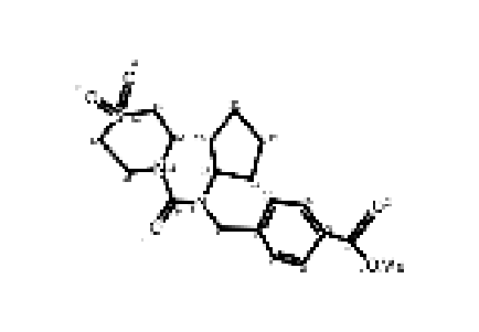 COC(=O)c1ccc(CN(C(=O)N2CCS(=O)(=O)CC2)C2CCCC2)cc1